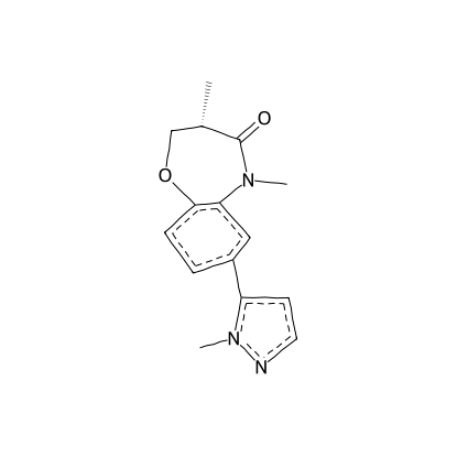 C[C@H]1COc2ccc(-c3ccnn3C)cc2N(C)C1=O